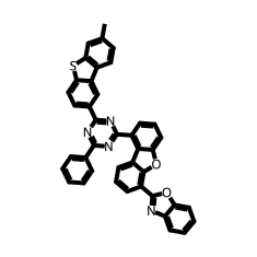 Cc1ccc2c(c1)sc1ccc(-c3nc(-c4ccccc4)nc(-c4cccc5oc6c(-c7nc8ccccc8o7)cccc6c45)n3)cc12